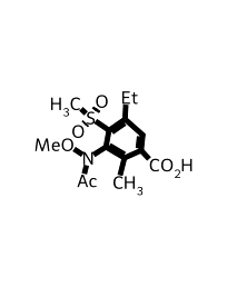 CCc1cc(C(=O)O)c(C)c(N(OC)C(C)=O)c1S(C)(=O)=O